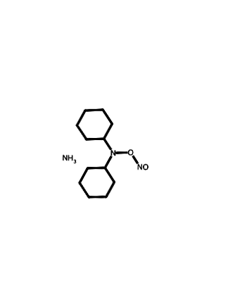 N.O=NON(C1CCCCC1)C1CCCCC1